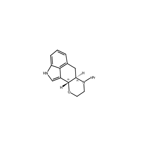 CCCN1CCO[C@@H]2c3c[nH]c4cccc(c34)C[C@H]21